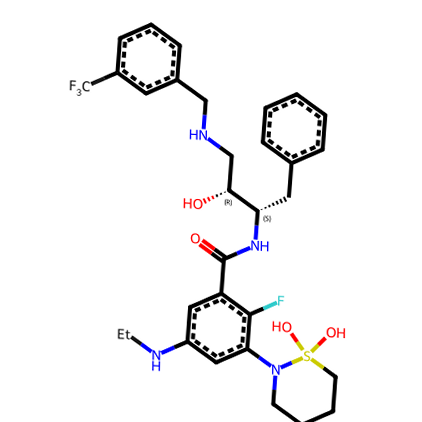 CCNc1cc(C(=O)N[C@@H](Cc2ccccc2)[C@H](O)CNCc2cccc(C(F)(F)F)c2)c(F)c(N2CCCCS2(O)O)c1